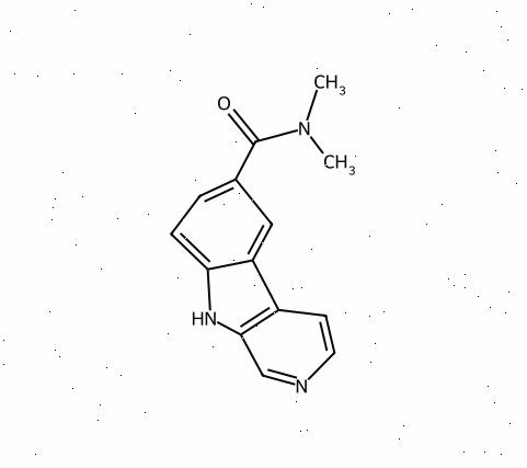 CN(C)C(=O)c1ccc2[nH]c3cnccc3c2c1